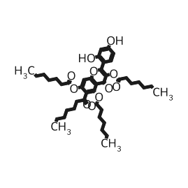 CCCCCCC(=O)Oc1cc2oc(-c3ccc(O)cc3O)c(OC(=O)CCCCCC)c(=O)c2c(OC(=O)CCCCCC)c1C(=O)CCCCCC